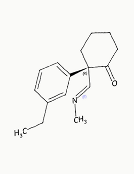 CCc1cccc([C@@]2(/C=N/C)CCCCC2=O)c1